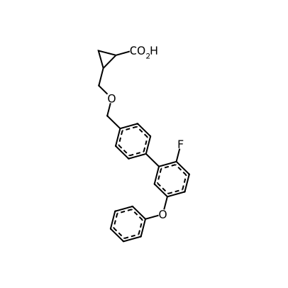 O=C(O)C1CC1COCc1ccc(-c2cc(Oc3ccccc3)ccc2F)cc1